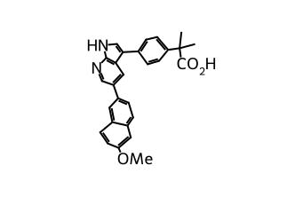 COc1ccc2cc(-c3cnc4[nH]cc(-c5ccc(C(C)(C)C(=O)O)cc5)c4c3)ccc2c1